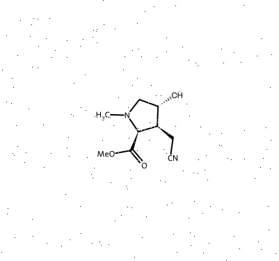 COC(=O)[C@@H]1[C@H](CC#N)[C@@H](O)CN1C